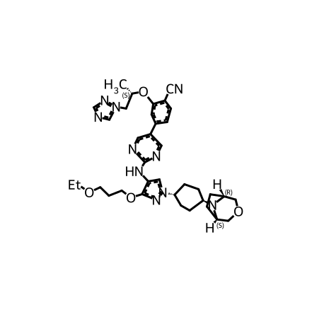 CCOCCCOc1nn([C@H]2CC[C@H](N3[C@@H]4CC[C@H]3COC4)CC2)cc1Nc1ncc(-c2ccc(C#N)c(O[C@@H](C)Cn3cncn3)c2)cn1